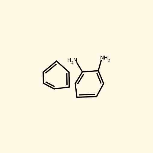 Nc1ccccc1N.c1ccccc1